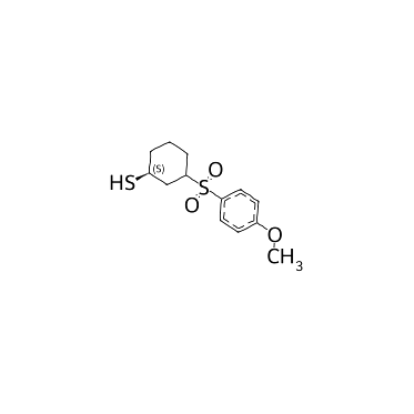 COc1ccc(S(=O)(=O)C2CCC[C@H](S)C2)cc1